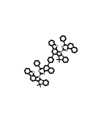 CC1(C)c2ccccc2-c2c1c1ccc3c4ccccc4oc3c1n2-c1nc(-c2ccccc2)c2cc(-c3ccc(-c4cc5c6ccccc6oc5c5c4c4c(n5-c5nc(-c6ccccc6)c6ccc7ccccc7c6n5)-c5ccccc5C4(C)C)cc3)c3ccccc3c2n1